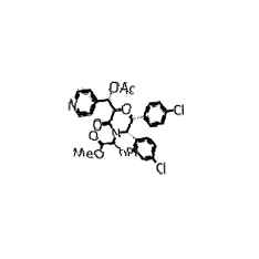 CCC[C@@H](C(=O)OC)N1C(=O)[C@@H]([C@@H](OC(C)=O)c2ccncc2)O[C@H](c2ccc(Cl)cc2)[C@@H]1c1ccc(Cl)cc1